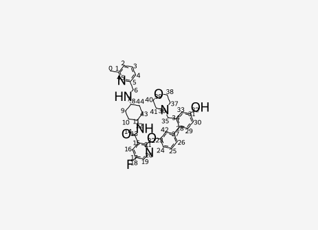 Cc1cccc(CN[C@H]2CC[C@@H](NC(=O)c3cc(F)cnc3Oc3cccc(-c4ccc(O)cc4CN4CCOCC4)c3)CC2)n1